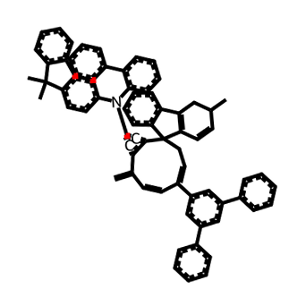 C=C1/C=C\C(c2cc(-c3ccccc3)cc(-c3ccccc3)c2)=C/CC2(C3=C(CC(C)C=C3)c3ccccc32)c2cc(N(c3ccc4c(c3)-c3ccccc3C4(C)C)c3ccccc3-c3ccccc3)ccc21